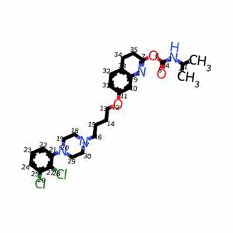 CC(C)NC(=O)OC1=Nc2cc(OCCCCN3CCN(c4cccc(Cl)c4Cl)CC3)ccc2CC1